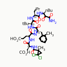 CCCC[C@H](NC(=O)[C@H](CC(C)C)NC(=O)[C@@H](NC(=O)[C@H](Cc1ccccc1C)NC(=O)[C@H](CCC(=O)O)NC(=O)[C@H](CC(=O)O)NC(=O)C1(C)CC1(Cl)Cl)C(C)(C)C)C(=O)C(N)=O